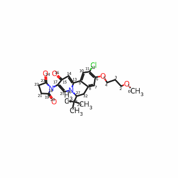 COCCCOc1cc2c(cc1Cl)-c1cc(=O)c(N3C(=O)CCC3=O)cn1C(C(C)(C)C)C2